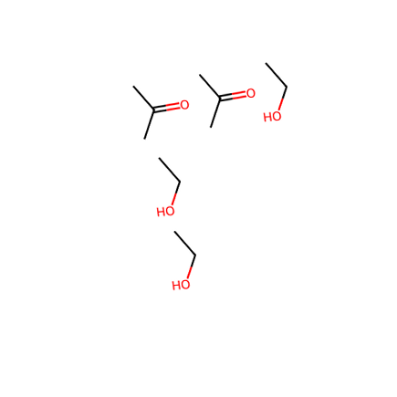 CC(C)=O.CC(C)=O.CCO.CCO.CCO